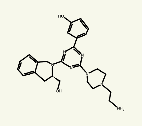 NCCN1CCN(c2nc(-c3cccc(O)c3)nc(N3Cc4ccccc4C[C@@H]3CO)n2)CC1